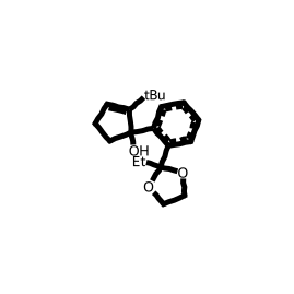 CCC1(c2ccccc2C2(O)CCC=C2C(C)(C)C)OCCO1